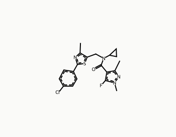 Cc1nc(-c2ccc(Cl)cc2)sc1CN(C(=O)c1c(C)nn(C)c1F)C1CC1